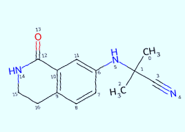 CC(C)(C#N)Nc1ccc2c(c1)C(=O)NCC2